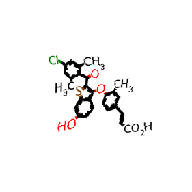 Cc1cc(/C=C/C(=O)O)ccc1Oc1c(C(=O)c2c(C)cc(Cl)cc2C)sc2cc(O)ccc12